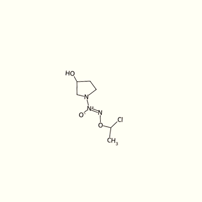 CC(Cl)O/N=[N+](\[O-])N1CCC(O)C1